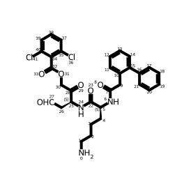 NCCCC[C@H](NC(=O)Cc1ccccc1-c1ccccc1)C(=O)N[C@@H](CC=O)C(=O)COC(=O)c1c(Cl)cccc1Cl